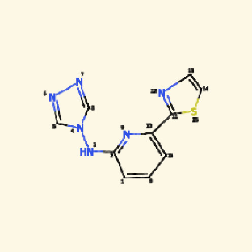 c1cc(Nn2cnnc2)nc(-c2nccs2)c1